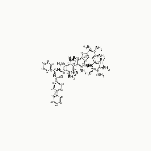 Bc1c(B)c(B)c(-c2c(B)c(B)c(B)c3c2-c2c(B)c(B)c(-c4c(B)c(B)c(-c5nc(-c6ccccc6)nc(-c6ccc(-c7ccccc7)cc6)n5)c(B)c4B)c(B)c2C3)c(B)c1B